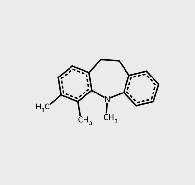 Cc1ccc2c(c1C)N(C)c1ccccc1CC2